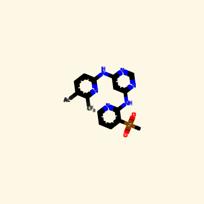 CC(=O)c1ccc(Nc2cc(Nc3ncccc3S(C)(=O)=O)ncn2)nc1C(F)(F)F